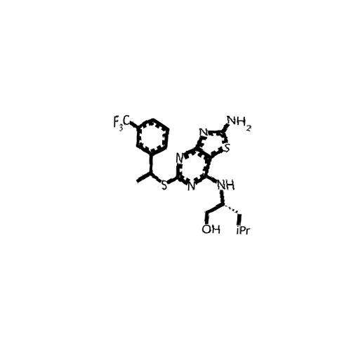 CC(C)C[C@H](CO)Nc1nc(SC(C)c2cccc(C(F)(F)F)c2)nc2nc(N)sc12